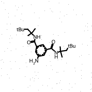 CC(C)(C)CC(C)(C)NC(=O)c1cc(N)cc(C(=O)NC(C)(C)CC(C)(C)C)c1